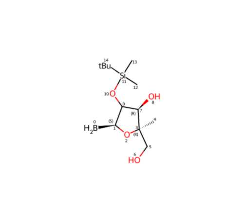 B[C@@H]1O[C@](C)(CO)[C@H](O)C1O[Si](C)(C)C(C)(C)C